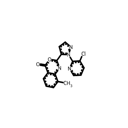 Cc1cccc2c(=O)oc(-c3ccnn3-c3ncccc3Cl)nc12